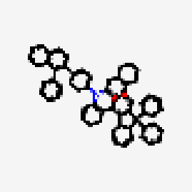 C1=CC2c3c(C4=C(N(C5=CC=C(c6ccc7ccccc7c6-c6ccccc6)CC5)c5ccc6c(c5)CCC=C6)C=CCC4)cccc3C(c3ccccc3)(c3ccccc3)C2C=C1